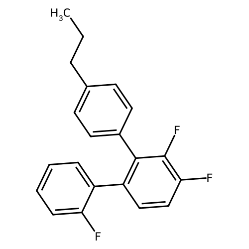 CCCc1ccc(-c2c(-c3ccccc3F)ccc(F)c2F)cc1